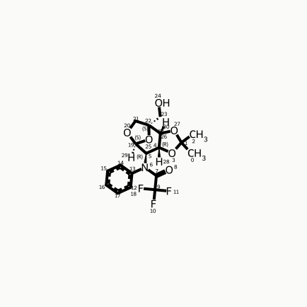 CC1(C)O[C@@H]2[C@@H](N(C(=O)C(F)(F)F)c3ccccc3)[C@H]3OC[C@](CO)(O3)[C@@H]2O1